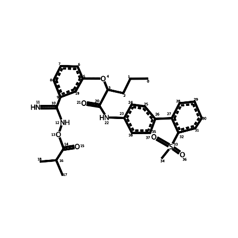 CCCC(Oc1cccc(C(=N)NOC(=O)C(C)C)c1)C(=O)Nc1ccc(-c2ccccc2S(C)(=O)=O)cc1